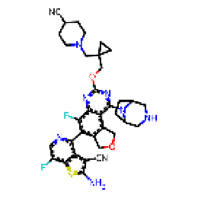 N#Cc1c(N)sc2c(F)cnc(-c3c4c(c5c(N6C7CCC6CNC7)nc(OCC6(CN7CCC(C#N)CC7)CC6)nc5c3F)COC4)c12